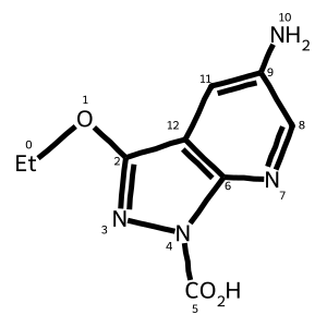 CCOc1nn(C(=O)O)c2ncc(N)cc12